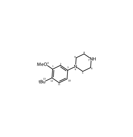 COc1cc(N2CCNCC2)ccc1C(C)(C)C